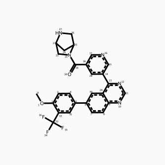 COc1ccc(-c2ccc3ncnc(-c4cncc(C(=O)N5CC6CC5CN6)c4)c3c2)cc1C(F)(F)F